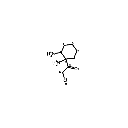 NC1CCCCC1(N)C(=O)CCl